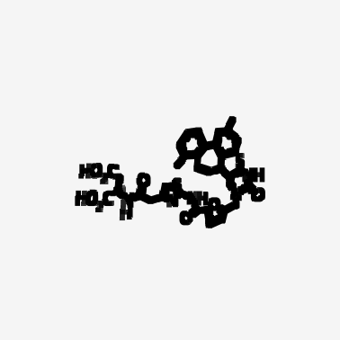 Cc1ccc2c(c1)-c1cccc(C)c1C=CC2c1cn(Cc2ccc(C(=O)Nc3nc(CC(=O)N[C@@H](CC(=O)O)C(=O)O)cs3)o2)c(=O)[nH]c1=S